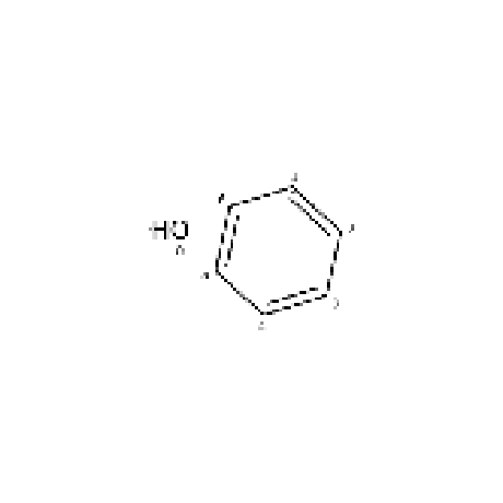 [OH].[c]1ccccc1